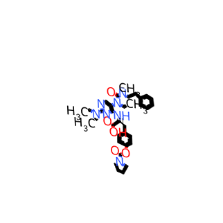 CCN(CC)c1ncc(N(CC)C(=O)N(C)CCc2ccccc2)c(N[C@@H](Cc2ccc(OC(=O)N3CCCC3)cc2)C(=O)O)n1